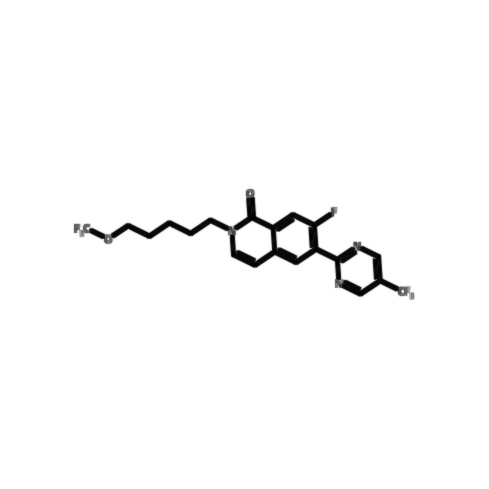 O=c1c2cc(F)c(-c3ncc(C(F)(F)F)cn3)cc2ccn1CCCCCOC(F)(F)F